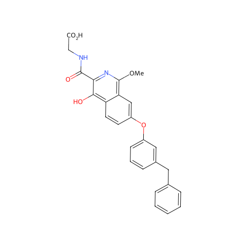 COc1nc(C(=O)NCC(=O)O)c(O)c2ccc(Oc3cccc(Cc4ccccc4)c3)cc12